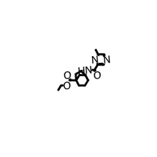 CCOC(=O)C12CCCC(NC(=O)c3cncc(C)n3)(CC1)C2